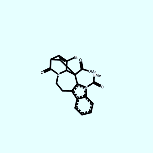 CCC1=CC2CC3(C(=O)OC)c4c(c5ccccc5n4C(=O)OC)CCN(C2=O)C13